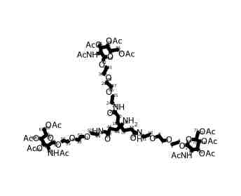 CC(=O)NC1C(OCCOCCOCCNC(=O)CCC(N)(CCC(=O)NCCOCCOCCOC2OC(COC(C)=O)C(OC(C)=O)C(OC(C)=O)C2NC(C)=O)CCC(=O)NCCOCCOCCOC2OC(COC(C)=O)C(OC(C)=O)C(OC(C)=O)C2NC(C)=O)OC(COC(C)=O)C(OC(C)=O)C1OC(C)=O